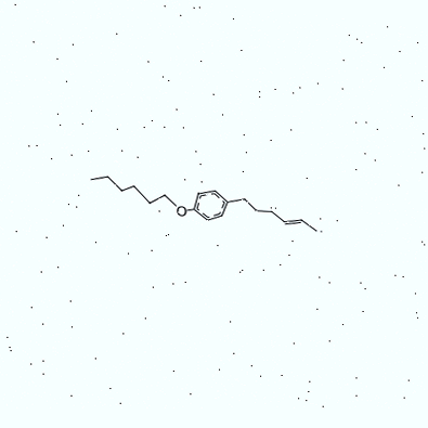 [CH2]C=CCCCc1ccc(OCCCCCC)cc1